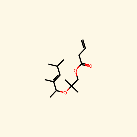 C=CCC(=O)OCC(C)(C)OC(C)C(C)=CC(C)C